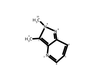 Cc1c2ncccc2nn1C